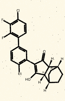 CCc1ccc(-c2ccc(Cl)c(F)c2F)cc1C1=C(O)[C@H]2[C@H]3CC[C@H](CC3)[C@H]2C1=O